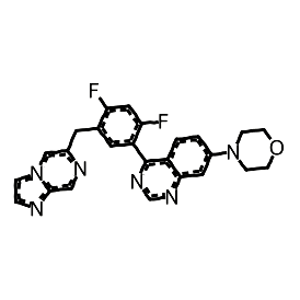 Fc1cc(F)c(-c2ncnc3cc(N4CCOCC4)ccc23)cc1Cc1cn2ccnc2cn1